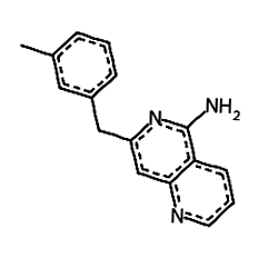 Cc1cccc(Cc2cc3ncccc3c(N)n2)c1